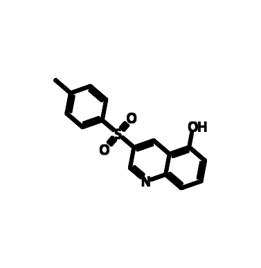 Cc1ccc(S(=O)(=O)c2cnc3cccc(O)c3c2)cc1